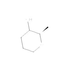 C[C@H]1OCCCC1O